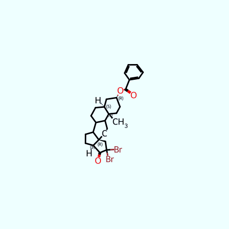 C[C@]12CC[C@@H](OC(=O)c3ccccc3)C[C@@H]1CCC1C3CC[C@@H]4C(=O)C(Br)(Br)C[C@]34CCC12